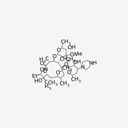 CC[C@@H](O)[C@@](C)(O)[C@@H]1OC(=O)[C@H](C)[C@@H](O[C@H]2CC(C)(OC)[C@@H](O)C(C)O2)[C@H](C)[C@@H](O[C@@H]2OC(C)CC(N3CCNCC3)C2O)[C@@]2(C)CC(C)C(O2)[C@@H]1C